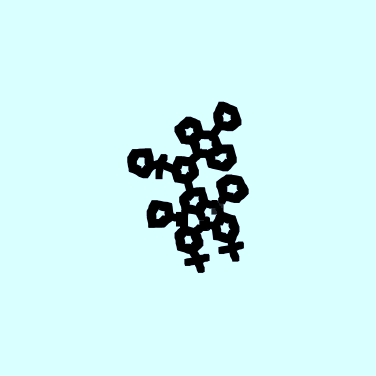 CC(C)(C)c1ccc2c(c1)B1c3cc(C(C)(C)C)ccc3N(c3ccccc3)c3cc(-c4cc(-c5c6ccccc6c(-c6ccccc6)c6ccccc56)cc(C(C)(C)c5ccccc5)c4)cc(c31)N2c1ccccc1